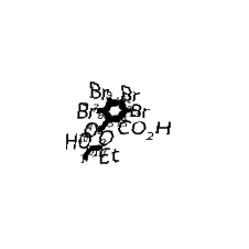 CCC(OC(=O)c1c(Br)c(Br)c(Br)c(Br)c1C(=O)O)C(C)O